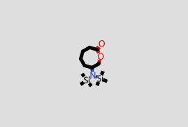 C[Si](C)(C)N(C1CCCCC(=O)OC1)[Si](C)(C)C